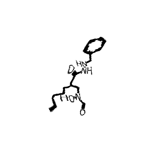 CCCCCC(CN(O)C=O)C(=O)NNCc1ccccc1